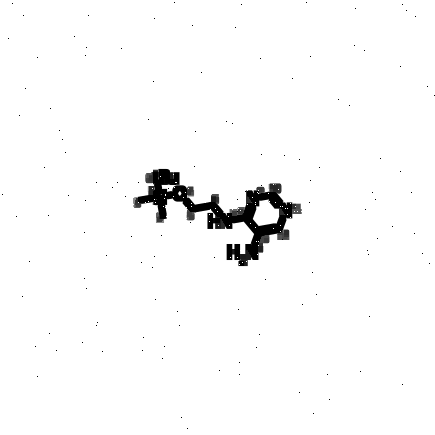 CC(C)(C)[Si](C)(C)OCCNc1ncncc1N